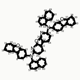 c1ccc2c(N(c3ccc4c(c3)oc3ccccc34)c3ccc4c(n3)oc3nc(N(c5ccc6c(c5)oc5ccccc56)c5cccc6ccccc56)ccc34)cccc2c1